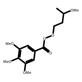 COc1cc(C(=O)OO[CH]CC(C)OC)cc(OC)c1OC